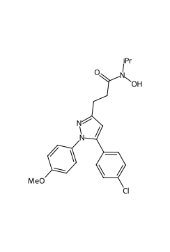 COc1ccc(-n2nc(CCC(=O)N(O)C(C)C)cc2-c2ccc(Cl)cc2)cc1